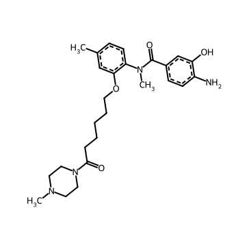 Cc1ccc(N(C)C(=O)c2ccc(N)c(O)c2)c(OCCCCCC(=O)N2CCN(C)CC2)c1